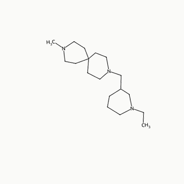 CCN1CCCC(CN2CCC3(CCN(C)CC3)CC2)C1